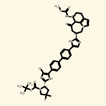 COC(=O)N[C@H]1CCc2ccn3c2C1C(=O)C[C@H](c1ncc(-c2ccc(-c4ccc(-c5[nH]c([C@@H]6CC(F)(F)CN6C(=O)OC(C)(C)C)nc5Cl)cc4)cc2)[nH]1)C3